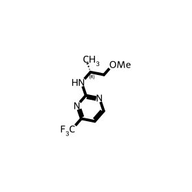 COC[C@@H](C)Nc1nccc(C(F)(F)F)n1